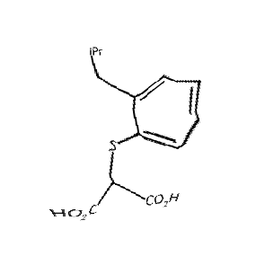 CC(C)Cc1ccccc1SC(C(=O)O)C(=O)O